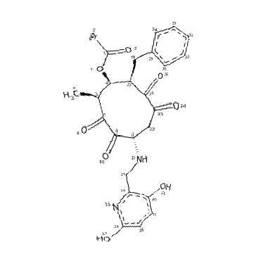 CC(C)C(=O)O[C@@H]1[C@H](C)C(=O)C(=O)[C@@H](NCc2nc(O)ccc2O)CC(=O)C(=O)[C@@H]1Cc1ccccc1